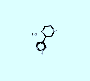 Cl.c1n[nH]cc1C1CNCCO1